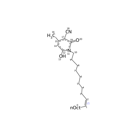 CCCCCCCC/C=C\CCCCCCCCn1c(O)cc(C)c(C#N)c1=O